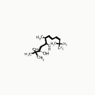 C[C@@H](/C=C/C=C\C(C)(C)C)[C@@H](O)C[C@H](O)C(C)(C)C